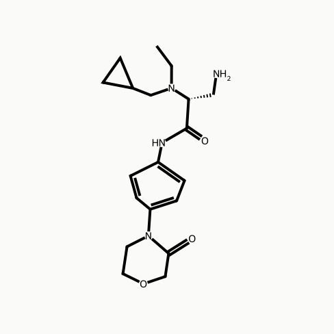 CCN(CC1CC1)[C@H](CN)C(=O)Nc1ccc(N2CCOCC2=O)cc1